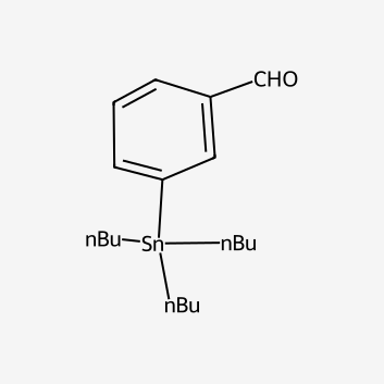 CCC[CH2][Sn]([CH2]CCC)([CH2]CCC)[c]1cccc(C=O)c1